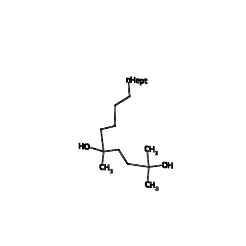 CCCCCCCCCCCC(C)(O)CCC(C)(C)O